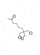 CC(=O)CCCCC(C=O)(CCl)CCl